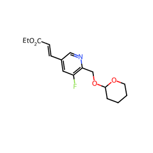 CCOC(=O)/C=C/c1cnc(COC2CCCCO2)c(F)c1